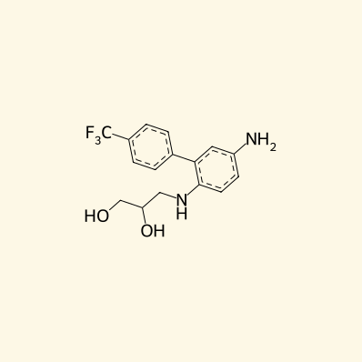 Nc1ccc(NCC(O)CO)c(-c2ccc(C(F)(F)F)cc2)c1